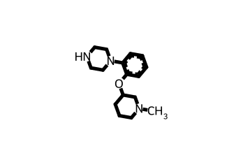 CN1CCCC(Oc2ccccc2N2CCNCC2)C1